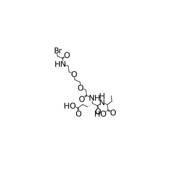 CCC(NC(=O)[C@H](CCC(=O)O)NC(=O)COCCOCCNC(=O)CBr)C(=O)O